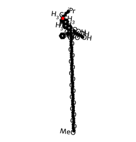 COCCOCCOCCOCCOCCOCCOCCOCCOCCOCCOCCOCCOCCOCCOCCOCCOCC(C(=O)NC1=CCCCC1)N(C(=O)[C@H](O)[C@@H](O)[C@H](O)[C@H](O)CO)C1CC[C@@]2(C)C(=CC[C@H]3[C@@H]4CC[C@H]([C@H](C)CCCC(C)C)[C@@]4(C)CC[C@@H]32)C1